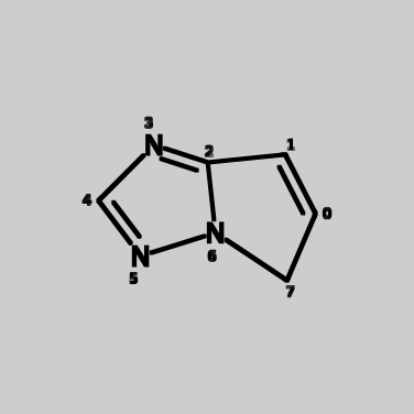 C1=Cc2ncnn2C1